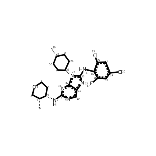 C[C@@H]1COCC[C@@H]1Nc1ncc2nc(Nc3c(F)cc(Cl)cc3Cl)n([C@H]3CC[C@@H](C)CC3)c2n1